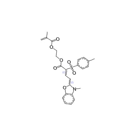 C=C(C)C(=O)OCCOC(=O)/C(=C/C=C1\Oc2ccccc2N1C)S(=O)(=O)c1ccc(C)cc1